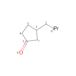 CC(C)CC1CCC(=O)C1